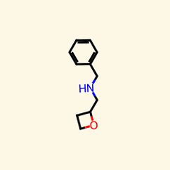 c1ccc(CNCC2CCO2)cc1